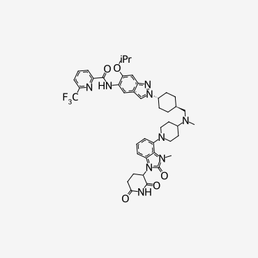 CC(C)Oc1cc2nn([C@H]3CC[C@H](CN(C)C4CCN(c5cccc6c5n(C)c(=O)n6C5CCC(=O)NC5=O)CC4)CC3)cc2cc1NC(=O)c1cccc(C(F)(F)F)n1